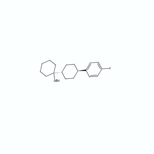 CCCCC1([C@H]2CC[C@H](c3ccc(I)cc3)CC2)CCCCC1